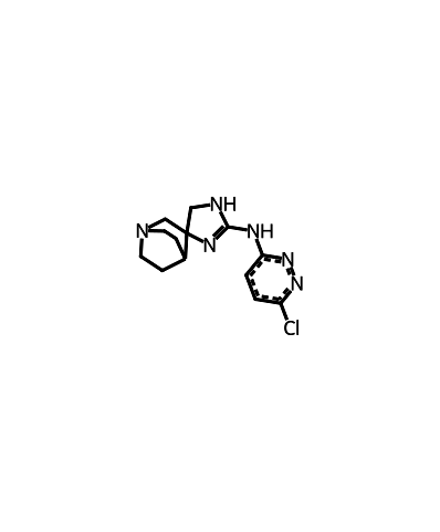 Clc1ccc(NC2=NC3(CN2)CN2CCC3CC2)nn1